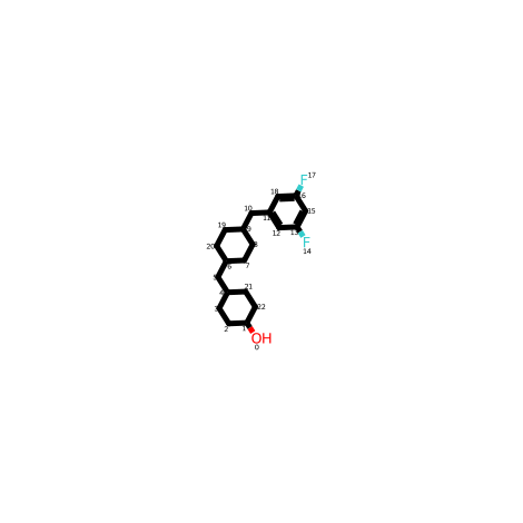 OC1CCC(CC2CCC(Cc3cc(F)cc(F)c3)CC2)CC1